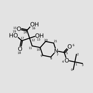 CC(C)(C)OC(=O)N1CCC(CC(O)(C(=O)O)C(=O)O)CC1